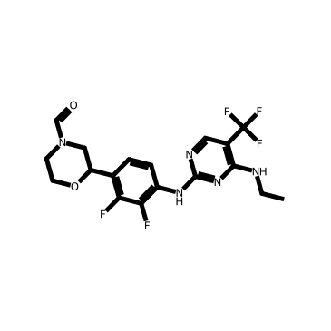 CCNc1nc(Nc2ccc(C3CN(C=O)CCO3)c(F)c2F)ncc1C(F)(F)F